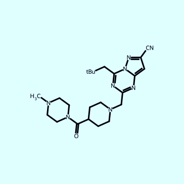 CN1CCN(C(=O)C2CCN(Cc3nc(CC(C)(C)C)n4nc(C#N)cc4n3)CC2)CC1